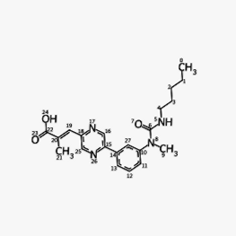 CCCCCNC(=O)N(C)c1cccc(-c2cnc(/C=C(\C)C(=O)O)cn2)c1